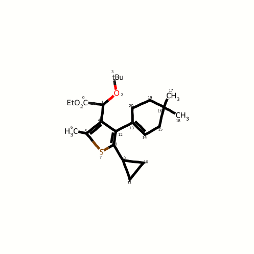 CCOC(=O)C(OC(C)(C)C)c1c(C)sc(C2CC2)c1C1=CCC(C)(C)CC1